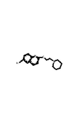 Brc1ccc2nc(OCCN3CCCCC3)ccc2c1